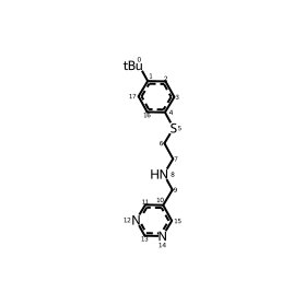 CC(C)(C)c1ccc(SCCNCc2cncnc2)cc1